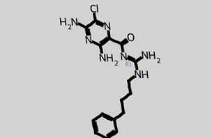 N/C(=N\C(=O)c1nc(Cl)c(N)nc1N)NCCCCc1ccccc1